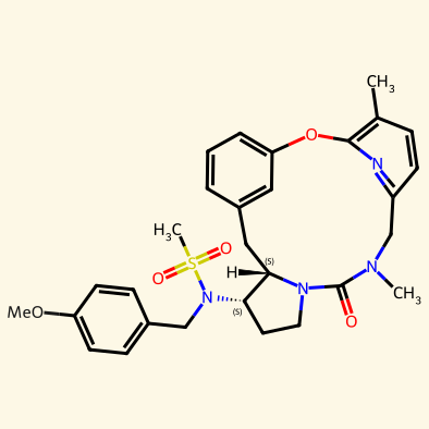 COc1ccc(CN([C@H]2CCN3C(=O)N(C)Cc4ccc(C)c(n4)Oc4cccc(c4)C[C@@H]23)S(C)(=O)=O)cc1